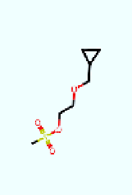 CS(=O)(=O)OCCOCC1CC1